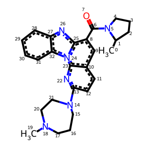 CC1CCCN1C(=O)c1cc2ccc(N3CCCN(C)CC3)nc2n2c1nc1ccccc12